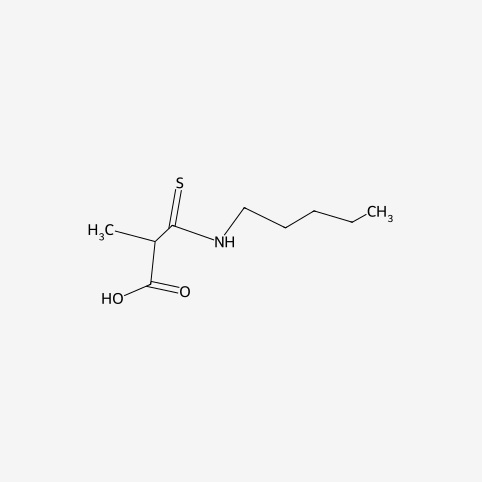 CCCCCNC(=S)C(C)C(=O)O